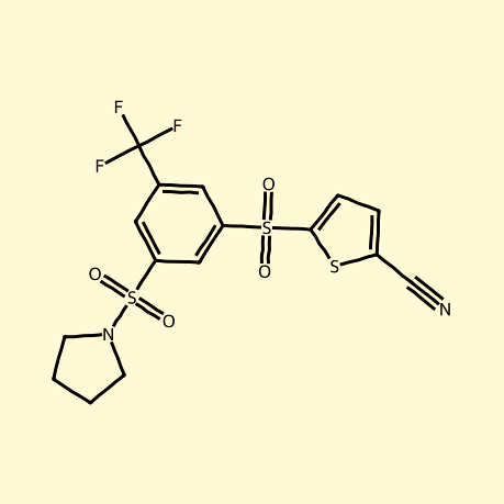 N#Cc1ccc(S(=O)(=O)c2cc(C(F)(F)F)cc(S(=O)(=O)N3CCCC3)c2)s1